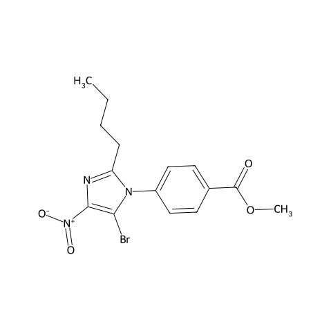 CCCCc1nc([N+](=O)[O-])c(Br)n1-c1ccc(C(=O)OC)cc1